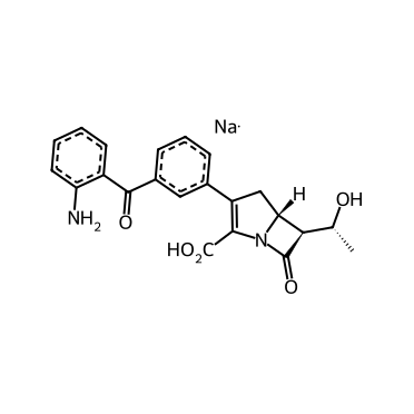 C[C@@H](O)[C@H]1C(=O)N2C(C(=O)O)=C(c3cccc(C(=O)c4ccccc4N)c3)C[C@H]12.[Na]